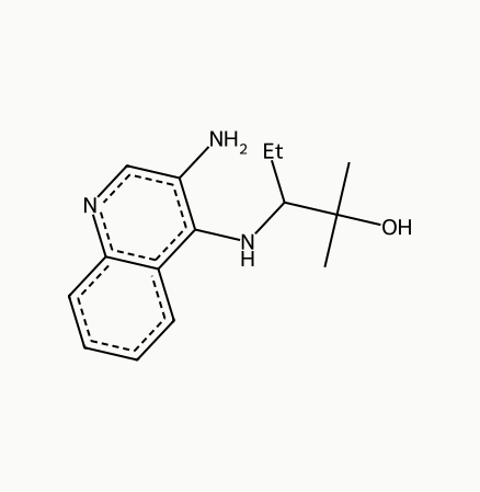 CCC(Nc1c(N)cnc2ccccc12)C(C)(C)O